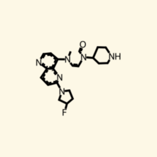 CN(/C=C\N(C=O)C1CCNCC1)c1ccnc2ccc(N3CCC(F)C3)nc12